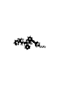 COc1ncc(C#Cc2cccc3nc([C@H](C)NC(=O)c4c(C)nn5cccnc45)n(-c4ccccc4)c(=O)c23)cn1